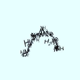 Nc1cc(N2CCN(C(=O)CC[C@H](N)C(=O)NCc3c[nH]nn3)CC2)nc(NCc2cn(CCCNCCCNC3CCCCC3)nn2)n1